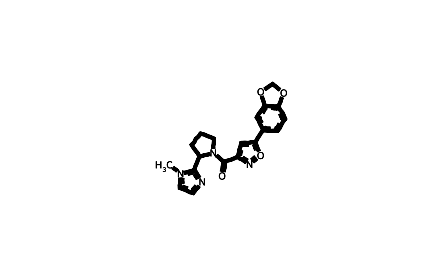 Cn1ccnc1C1CCCN1C(=O)c1cc(-c2ccc3c(c2)OCO3)on1